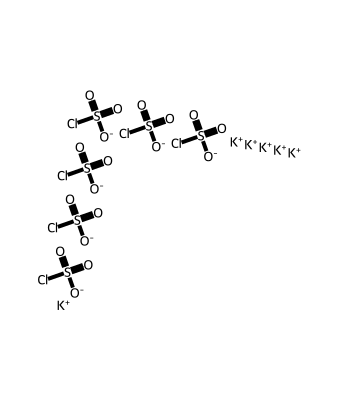 O=S(=O)([O-])Cl.O=S(=O)([O-])Cl.O=S(=O)([O-])Cl.O=S(=O)([O-])Cl.O=S(=O)([O-])Cl.O=S(=O)([O-])Cl.[K+].[K+].[K+].[K+].[K+].[K+]